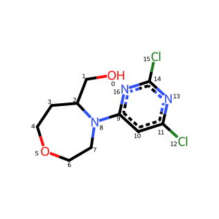 OCC1CCOCCN1c1cc(Cl)nc(Cl)n1